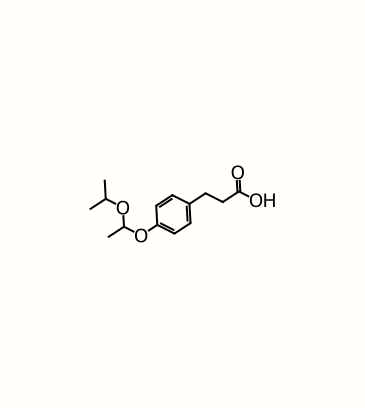 CC(C)OC(C)Oc1ccc(CCC(=O)O)cc1